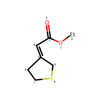 CCOC(=O)C=C1CCSC1